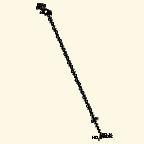 CCCCCCCCCCCC(CCCCCCCCCCC(=O)NCCOCCOCCOCCOCCOCCOCCOCCOCCOCCOCCOCCOCCOCCOCCOCCOCCOCCOCCOCCOCCOCCOCCOCCn1nnc2c1CC[C@H]1[C@@H](CC2)[C@H]1COC(=O)NC)(C(=O)O)C(=O)O